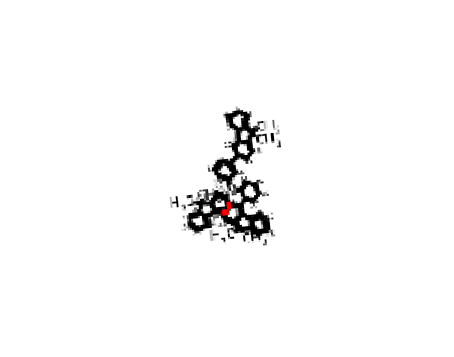 CC1(C)c2ccccc2-c2cc(-c3cccc(N(c4ccc5c(c4)C(C)(C)c4ccccc4-5)c4ccccc4-c4cccc5c4-c4ccccc4C5(C)C)c3)ccc21